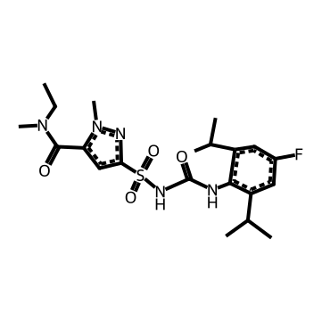 CCN(C)C(=O)c1cc(S(=O)(=O)NC(=O)Nc2c(C(C)C)cc(F)cc2C(C)C)nn1C